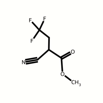 COC(=O)C(C#N)CC(F)(F)F